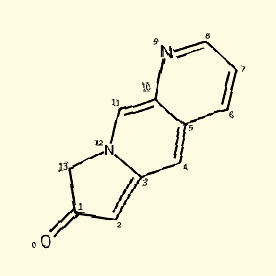 O=C1C=C2C=c3cccnc3=CN2C1